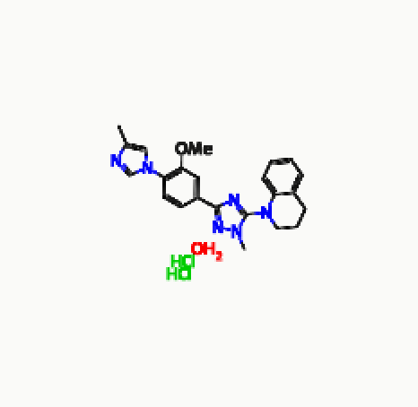 COc1cc(-c2nc(N3CCCc4ccccc43)n(C)n2)ccc1-n1cnc(C)c1.Cl.Cl.O